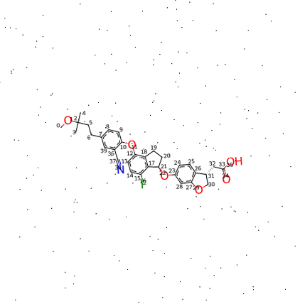 COC(C)(C)CCc1ccc(Oc2ccc(F)c3c2CC[C@H]3Oc2ccc3c(c2)OC[C@H]3CC(=O)O)c(C#N)c1